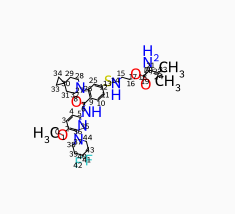 COc1ccc(NC(=O)c2ccc(SNCCOC(=O)[C@H](N)C(C)C)cc2N2CCC3(CC2)CC3)nc1N1CCC(F)(F)CC1